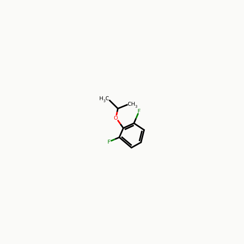 CC(C)Oc1c(F)cccc1F